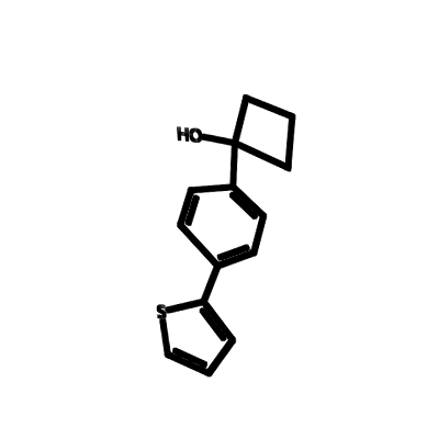 OC1(c2ccc(-c3cccs3)cc2)CCC1